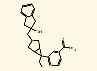 CCC1(c2cccc(C(N)=O)c2)C2CN(CC3(O)Cc4ccccc4C3)CC21